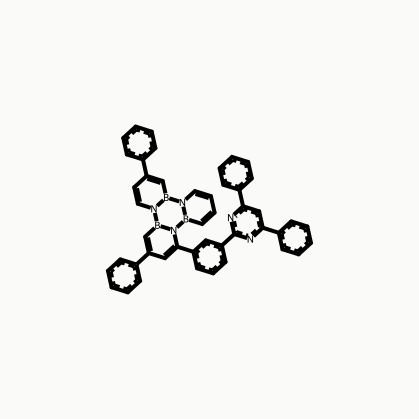 C1=CB2N(C=C1)B1C=C(c3ccccc3)C=CN1B1C=C(c3ccccc3)C=C(c3cccc(-c4nc(-c5ccccc5)cc(-c5ccccc5)n4)c3)N21